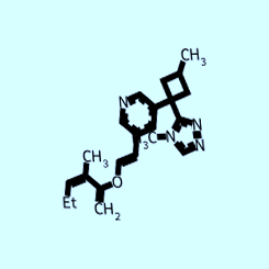 C=C(O/C=C/c1cncc(C2(c3nncn3C)CC(C)C2)c1)/C(C)=C\CC